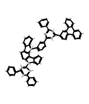 c1ccc(-c2nc(-c3cccc(-n4c5ccccc5c5ccc6c(c7ccccc7n6-c6nc(-c7ccccc7)nc(-c7ccccc7)n6)c54)c3)nc(-c3ccc4c5ccccc5c5ccccc5c4c3)n2)cc1